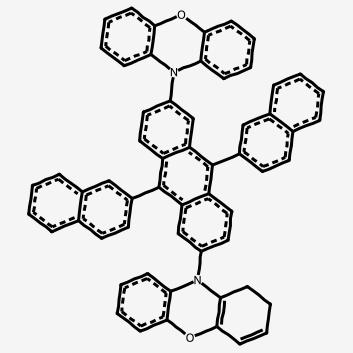 C1=CC2=C(CC1)N(c1ccc3c(-c4ccc5ccccc5c4)c4cc(N5c6ccccc6Oc6ccccc65)ccc4c(-c4ccc5ccccc5c4)c3c1)c1ccccc1O2